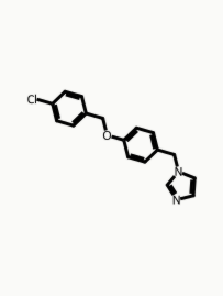 Clc1ccc(COc2ccc(Cn3ccnc3)cc2)cc1